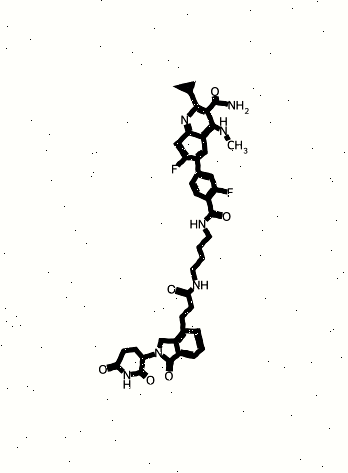 CNc1c(C(N)=O)c(C2CC2)nc2cc(F)c(-c3ccc(C(=O)NCCCCNC(=O)CCc4cccc5c4CN(C4CCC(=O)NC4=O)C5=O)c(F)c3)cc12